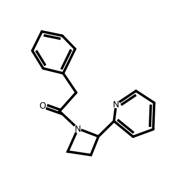 O=C(Cc1ccccc1)N1CCC1c1ccccn1